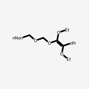 CCCCCCCCCCOCO/C(OCC)=C(/CCC)OCC